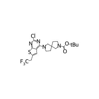 CC(C)(C)OC(=O)N1CCC2(CCN(c3nc(Cl)nc4sc(CC(F)(F)F)cc34)C2)C1